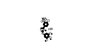 Br.COc1cc(/N=c2/scc(-c3ccc(Cl)c(S(N)(=O)=O)c3)n2C)cc(OC)c1OC